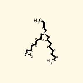 CC=CCN(CCCCCCCC)CCCCCCCC